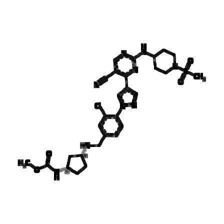 COC(=O)N[C@H]1CC[C@@H](NCc2ccc(-n3cc(-c4nc(NC5CCN(S(C)(=O)=O)CC5)ncc4C#N)cn3)c(Cl)c2)C1